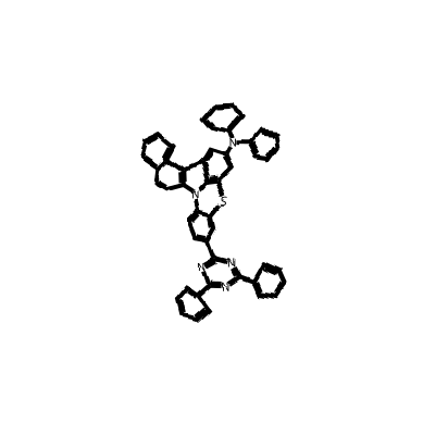 c1ccc(-c2nc(-c3ccccc3)nc(-c3ccc4c(c3)Sc3cc(N(c5ccccc5)c5ccccc5)cc5c6c7ccccc7ccc6n-4c35)n2)cc1